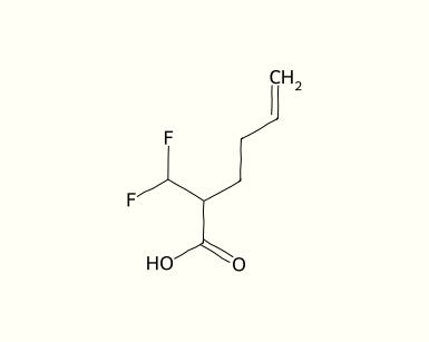 C=CCCC(C(=O)O)C(F)F